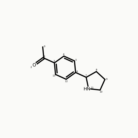 CC(=O)c1ccc(C2CCCN2)cc1